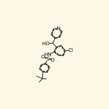 CC(C)(C)c1ccc(S(=O)(=O)Nc2ccc(Cl)cc2C(O)c2ccncc2)cc1